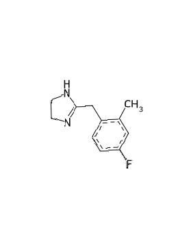 Cc1cc(F)ccc1CC1=NCCN1